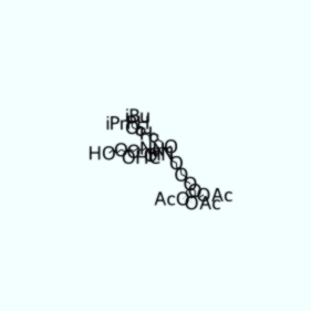 CCC(C)C(POc1ccc(-c2ccc(CC(C(=O)NCCOCCOCCO[C@H]3C[C@@H](OC(C)=O)[C@@H](OC(C)=O)[C@@H](COC(C)=O)O3)N(CC=O)CC(=O)NCCOCCOCCO)cc2)cc1)C(C)C